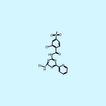 CCNc1nc(NC(=O)c2ccc(S(C)(=O)=O)cc2Cl)nc(-c2ccccn2)n1